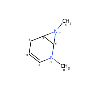 CN1C=CCC2C1N2C